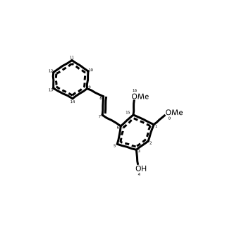 COc1cc(O)cc(C=Cc2ccccc2)c1OC